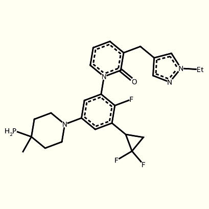 CCn1cc(Cc2cccn(-c3cc(N4CCC(C)(P)CC4)cc(C4CC4(F)F)c3F)c2=O)cn1